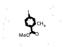 C.COC(=O)c1ccc(I)cc1